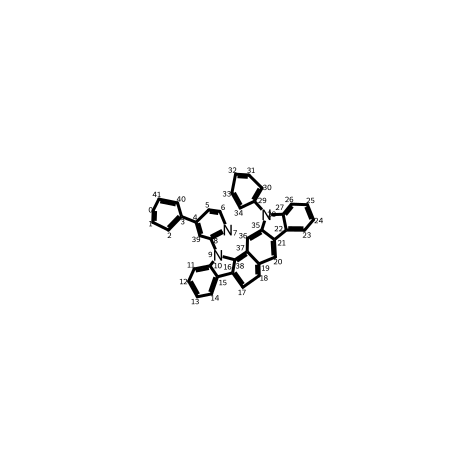 c1ccc(-c2ccnc(-n3c4ccccc4c4ccc5cc6c7ccccc7n(-c7ccccc7)c6cc5c43)c2)cc1